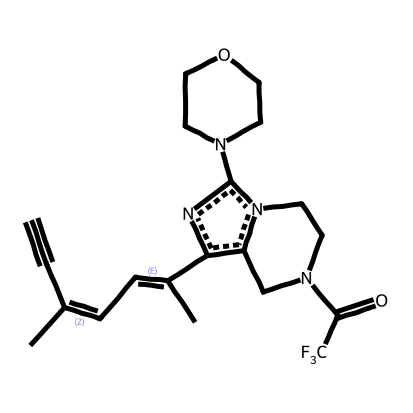 C#C/C(C)=C\C=C(/C)c1nc(N2CCOCC2)n2c1CN(C(=O)C(F)(F)F)CC2